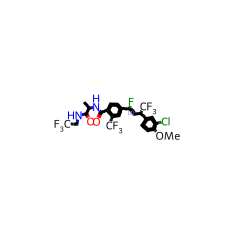 COc1ccc(C(/C=C(\F)c2ccc(C(=O)NC(C)C(=O)NCC(F)(F)F)c(C(F)(F)F)c2)C(F)(F)F)cc1Cl